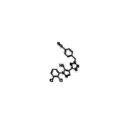 N#Cc1ccc(Cn2nnc(-c3cnn(-c4cccc(Cl)c4Cl)c3S)n2)cc1